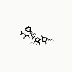 CC(C)OC(=O)[C@H](C)N[P@](=O)(Oc1ccccc1)OC(C)(C)[C@H]1O[C@@H](n2cc(F)c(N)nc2=O)[C@@](F)(CF)C1O